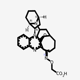 C/C(=N\OCC(=O)O)c1nc2ccccc2n([C@@H]2C[C@@H]3CCC[C@H]2N3C2CC3CCCCC(C3)C2)c1=O